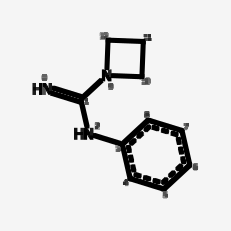 N=C(Nc1ccccc1)N1CCC1